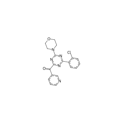 O=C(c1cccnc1)c1nc(-c2ccccc2Cl)nc(N2CCOCC2)n1